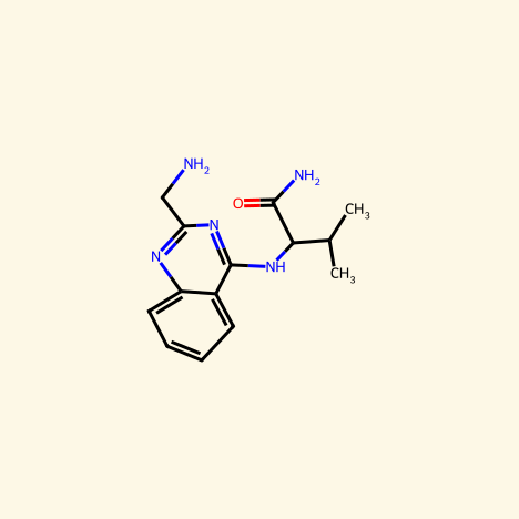 CC(C)C(Nc1nc(CN)nc2ccccc12)C(N)=O